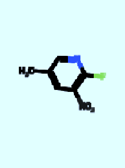 Cc1cnc(F)c([N+](=O)[O-])c1